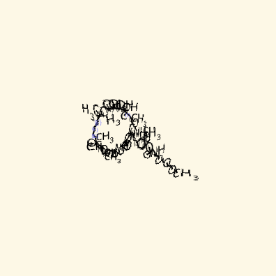 CCOCCOCCOCCNC(=O)O[C@@H]1CC[C@@H](C[C@@H](N)[C@@H]2CC(=O)[C@H](C)/C=C(\C)[C@@H](O)[C@@H](O)C(=O)[C@H](C)C[C@H](C)/C=C/C=C/C=C(\C)C(OC)C[C@@H]3CC[C@@H](C)[C@@](O)(O3)C(=O)C(=O)N3CCCC[C@H]3C(=O)O2)C[C@H]1OC